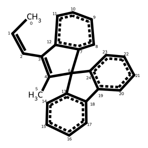 C/C=C\C1=C(C)C2(c3ccccc31)c1ccccc1-c1ccccc12